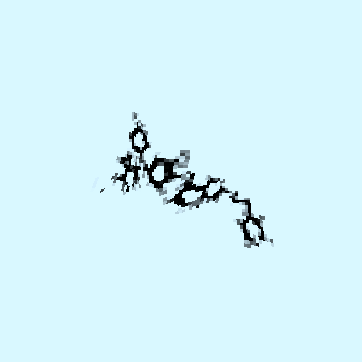 NC(=O)C1(C(=O)N(c2ccc(F)cc2)c2ccc(Oc3ccnc4cc(OCCc5ccncc5)ncc34)c(F)c2)CC1